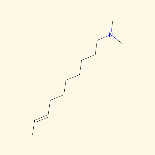 CC=CCCCCCCCN(C)C